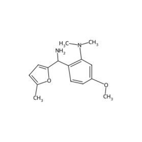 COc1ccc(C(N)c2ccc(C)o2)c(N(C)C)c1